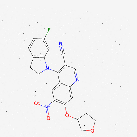 N#Cc1cnc2cc(OC3CCOC3)c([N+](=O)[O-])cc2c1N1CCc2ccc(F)cc21